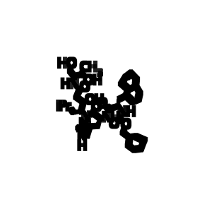 CC(C)C[C@H](NC(=O)[C@H](Cc1c[nH]cn1)NC(=O)[C@H](Cc1cccc2ccccc12)NC(=O)OCc1ccccc1)[C@@H](O)CC(=O)NC(CO)C(C)O